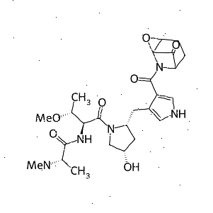 CN[C@@H](C)C(=O)N[C@H](C(=O)N1C[C@@H](O)C[C@H]1Cc1c[nH]cc1C(=O)N1C2CCC3OC31C2=O)[C@@H](C)OC